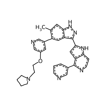 Cc1cc2[nH]nc(-c3cc4c(-c5cccnc5)nccc4[nH]3)c2cc1-c1cncc(OCCN2CCCC2)c1